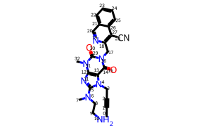 CC#CCn1c(N(C)CCN)nc2c1c(=O)n(Cc1ncc3ccccc3c1C#N)c(=O)n2C